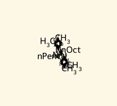 CCCCCCCCC(=N\c1ccc(C)c(C)c1)/C(CCCCC)=N/c1ccc(C)c(C)c1.[Ni]